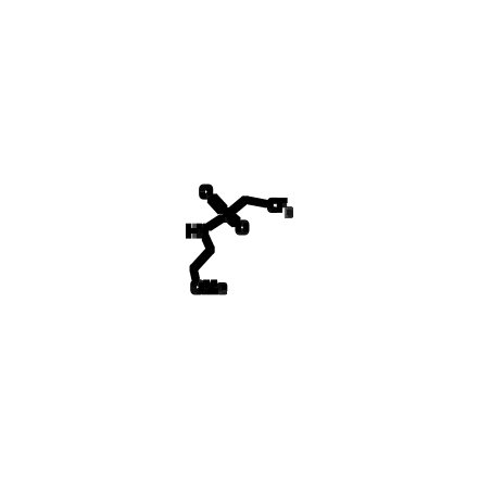 COCCNS(=O)(=O)CC(F)(F)F